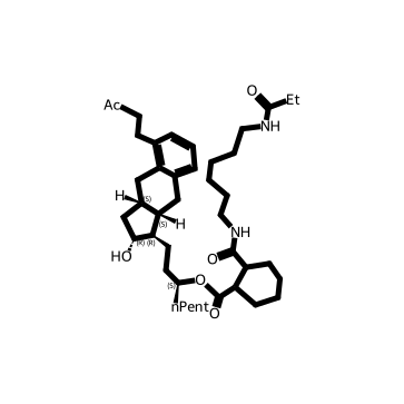 CCCCC[C@@H](CC[C@@H]1[C@H]2Cc3cccc(CCC(C)=O)c3C[C@H]2C[C@H]1O)OC(=O)C1CCCCC1C(=O)NCCCCCCNC(=O)CC